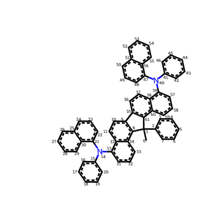 CC1(c2ccccc2)c2c(ccc3c(N(c4ccccc4)c4cccc5ccccc45)cccc23)-c2ccc3c(N(c4ccccc4)c4cccc5ccccc45)cccc3c21